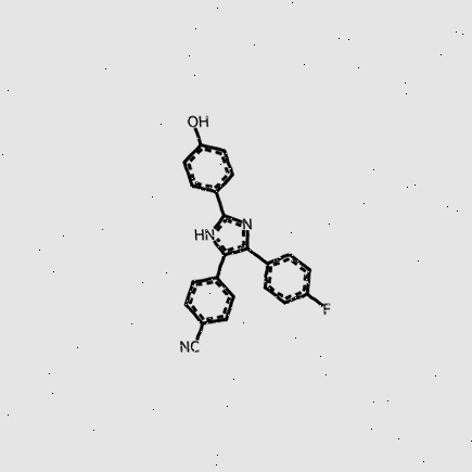 N#Cc1ccc(-c2[nH]c(-c3ccc(O)cc3)nc2-c2ccc(F)cc2)cc1